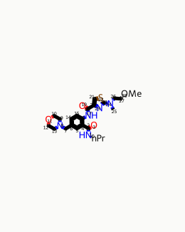 CCCNC(=O)c1cc(CN2CCOCC2)ccc1NC(=O)c1csc(N(C)CCOC)n1